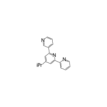 CC(C)c1cc(-c2cccnc2)nc(-c2ccccn2)c1